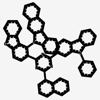 c1ccc(-n2c3ccccc3c3ccc(-c4nc(-c5ccc6oc7ccccc7c6c5-n5c6ccccc6c6cc7ccccc7cc65)nc(-c5cccc6ccccc56)n4)cc32)cc1